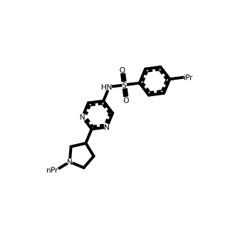 CCCN1CCC(c2ncc(NS(=O)(=O)c3ccc(C(C)C)cc3)cn2)C1